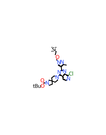 Cc1nn(COCC[Si](C)(C)C)cc1-c1nc(N2CCC3(CCN(C(=O)OC(C)(C)C)C3)CC2)c2ccnc(Cl)c2n1